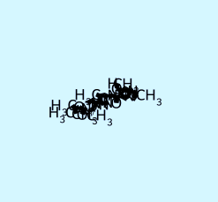 COc1cc2nc(C)cn2cc1C(=O)Nc1cc(C)c(N2CCN(C(=O)OC(C)(C)C)[C@@H](C)C2)nn1